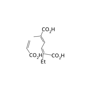 C=CC(=O)O.CCC(=CC=C(C)C(=O)O)C(=O)O